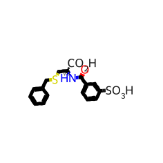 O=C(N[C@@H](CSCc1ccccc1)C(=O)O)c1cccc(S(=O)(=O)O)c1